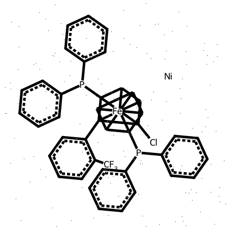 FC(F)(F)c1ccccc1[C]12[C]3(Cl)[CH]4[CH]5[C]1(P(c1ccccc1)c1ccccc1)[Fe]45321678[CH]2[CH]1[CH]6[C]7(P(c1ccccc1)c1ccccc1)[CH]28.[Ni]